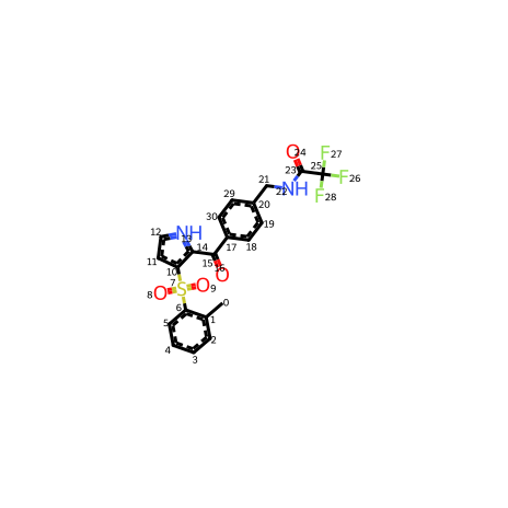 Cc1ccccc1S(=O)(=O)c1cc[nH]c1C(=O)c1ccc(CNC(=O)C(F)(F)F)cc1